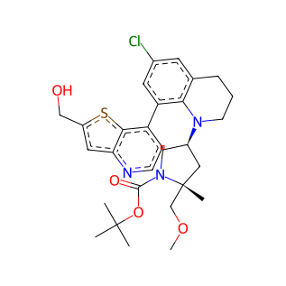 COC[C@@]1(C)C[C@H](N2CCCc3cc(Cl)cc(-c4ccnc5cc(CO)sc45)c32)CN1C(=O)OC(C)(C)C